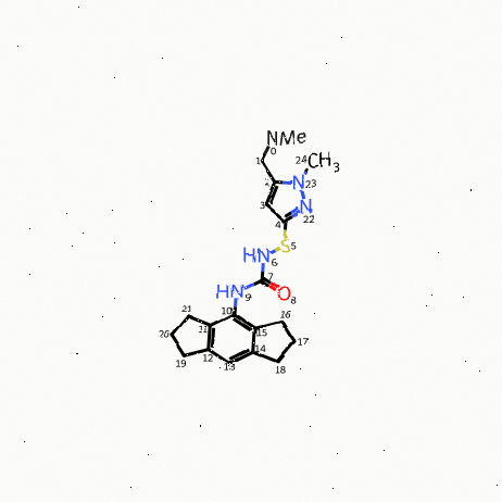 CNCc1cc(SNC(=O)Nc2c3c(cc4c2CCC4)CCC3)nn1C